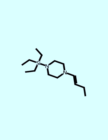 CC/C=C/N1CCN([Si](CC)(CC)CC)CC1